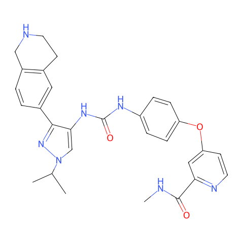 CNC(=O)c1cc(Oc2ccc(NC(=O)Nc3cn(C(C)C)nc3-c3ccc4c(c3)CCNC4)cc2)ccn1